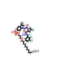 CCCCCCCC/C=C\CCCCCCCCOCCCOP(=O)(O)c1ccc2c(C(C)=O)cn(CC(=O)N3C[C@H](F)C[C@H]3C(=O)NCc3cccc(Cl)c3F)c2c1